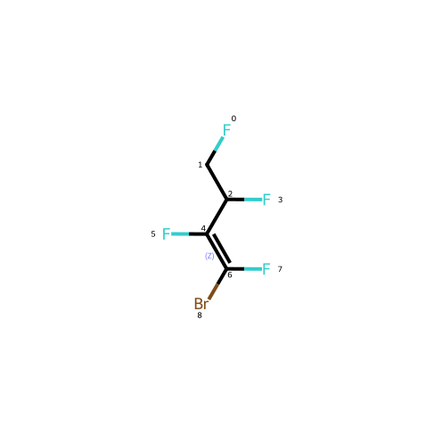 FCC(F)/C(F)=C(\F)Br